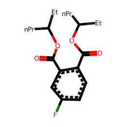 CCCC(CC)OC(=O)c1ccc(F)cc1C(=O)OC(CC)CCC